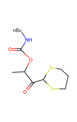 CCCCNC(=O)OC(C)C(=O)C1SCCCS1